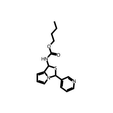 CCCCOC(=O)NC1SC(c2cccnc2)n2cccc21